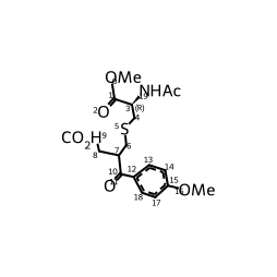 COC(=O)[C@H](CSCC(CC(=O)O)C(=O)c1ccc(OC)cc1)NC(C)=O